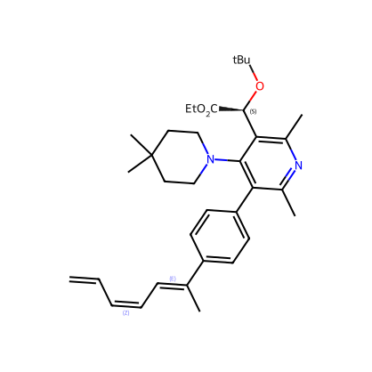 C=C/C=C\C=C(/C)c1ccc(-c2c(C)nc(C)c([C@H](OC(C)(C)C)C(=O)OCC)c2N2CCC(C)(C)CC2)cc1